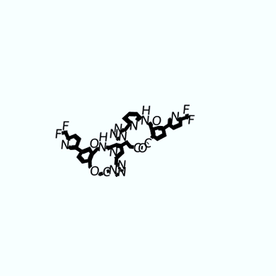 O=C1Nc2cc(C3CCOCc4ccc(-c5ccc(C(F)F)nc5)cc4C(=O)Nc4cccc(n4)-c4nncn43)cc(n2)-c2nncn2CCOCc2ccc(-c3ccc(C(F)F)nc3)cc21